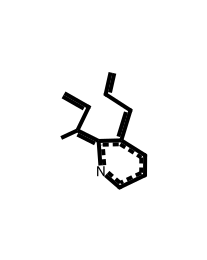 C=C/C=c1/cccn/c1=C(\C)C=C